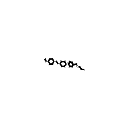 C=C[C@H]1CC[C@H](CC[C@H]2CC[C@H](c3ccc(COCCC)cc3)CC2)CC1